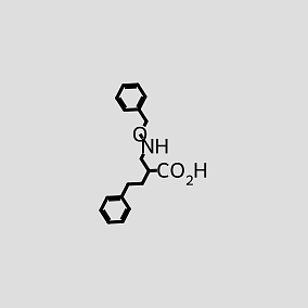 O=C(O)C(CCc1ccccc1)CNOCc1ccccc1